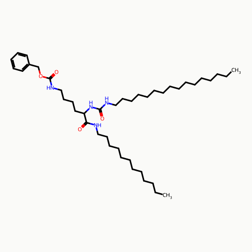 CCCCCCCCCCCCCCCCNC(=O)NC(CCCCNC(=O)OCc1ccccc1)C(=O)NCCCCCCCCCCCC